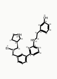 CCN(Cc1cccc(-c2ccnc(NCCc3cccc(O)c3)n2)c1)C[C@H]1CCNC1